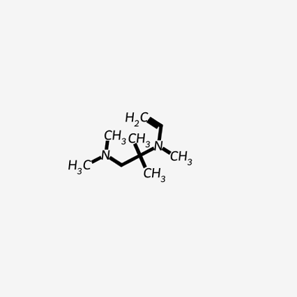 C=CN(C)C(C)(C)CN(C)C